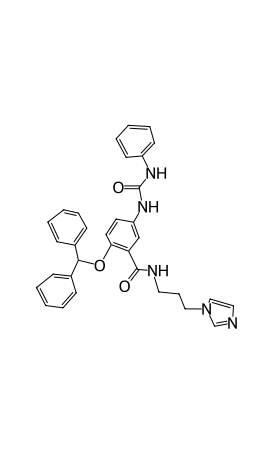 O=C(Nc1ccccc1)Nc1ccc(OC(c2ccccc2)c2ccccc2)c(C(=O)NCCCn2ccnc2)c1